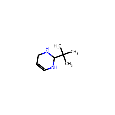 CC(C)(C)C1NC=CCN1